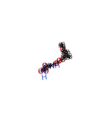 O=C1CC[C@H](N2Cc3cc(NCCCOCCOCCOc4ccc(C5=C(c6ccccc6)CCc6cc(OCc7ccccc7)ccc65)cc4)ccc3C2=O)C(=O)N1